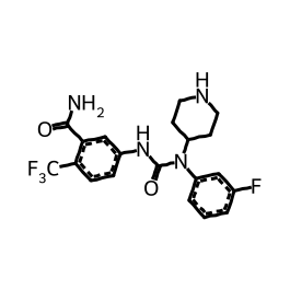 NC(=O)c1cc(NC(=O)N(c2cccc(F)c2)C2CCNCC2)ccc1C(F)(F)F